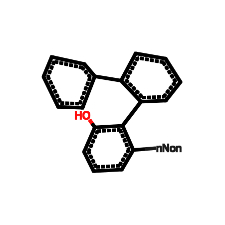 CCCCCCCCCc1cccc(O)c1-c1ccccc1-c1ccccc1